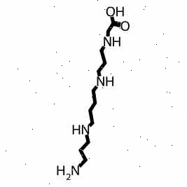 NCCCNCCCCNCCCNCC(=O)O